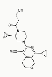 N#Cc1c(N2CCN(C(=O)CCO)[C@H](C3=CC3)C2)nc(C2CC2)c2c1CCNC2